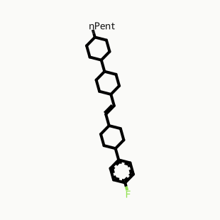 CCCCCC1CCC(C2CCC(/C=C/C3CCC(c4ccc(F)cc4)CC3)CC2)CC1